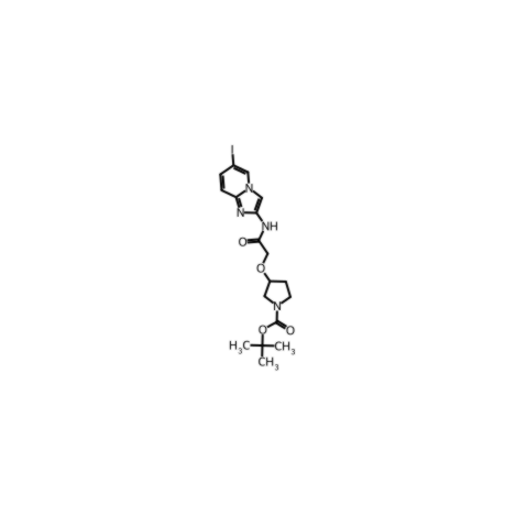 CC(C)(C)OC(=O)N1CCC(OCC(=O)Nc2cn3cc(I)ccc3n2)C1